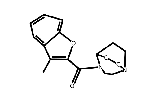 Cc1c(C(=O)N2CCN3CCC2CC3)oc2ccccc12